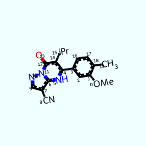 COc1cc(-c2[nH]c3c(C#N)cnn3c(=O)c2C(C)C)ccc1C